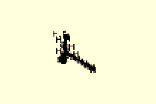 Cc1ccnc(NCCCC(=O)NCC(=O)NC(CC(=O)NCCOCCOCCOCCOCCOCCN=[N+]=[N-])c2ccc(-c3cccc4ccccc34)cc2)c1